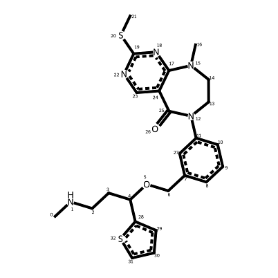 CNCCC(OCc1cccc(N2CCN(C)c3nc(SC)ncc3C2=O)c1)c1cccs1